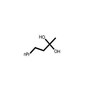 [CH2]CCCCC(C)(O)O